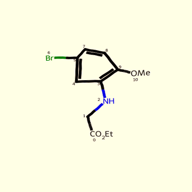 CCOC(=O)CNc1cc(Br)ccc1OC